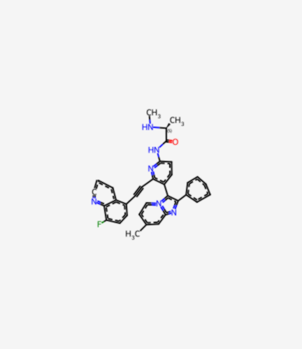 CN[C@@H](C)C(=O)Nc1ccc(-c2c(-c3ccccc3)nc3cc(C)ccn23)c(C#Cc2ccc(F)c3ncccc23)n1